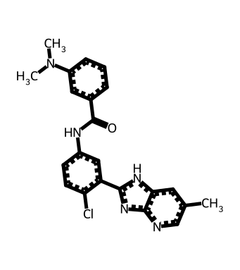 Cc1cnc2nc(-c3cc(NC(=O)c4cccc(N(C)C)c4)ccc3Cl)[nH]c2c1